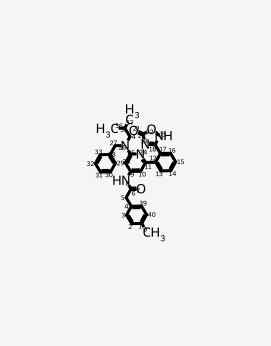 Cc1ccc(CC(=O)Nc2cc(-c3ccccc3-c3nc(=O)o[nH]3)nc(N(Cc3ccccc3)CC(C)C)c2)cc1